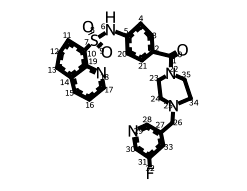 O=C(c1ccc(NS(=O)(=O)c2cccc3cccnc23)cc1)N1CCN(Cc2cncc(F)c2)CC1